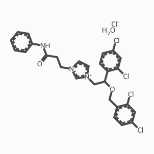 O.O=C(CCn1cc[n+](CC(OCc2ccc(Cl)cc2Cl)c2ccc(Cl)cc2Cl)c1)Nc1ccccc1.[Cl-]